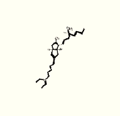 CCCC[C@](C)(O)C/C=C/[C@@H]1[C@H]2CC(CCCCCN(CC)CC)=C[C@H]2C[C@H]1O